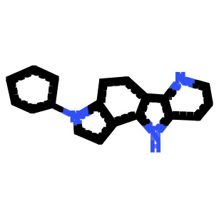 c1ccc(-n2ccc3c4[nH]c5cccnc5c4ccc32)cc1